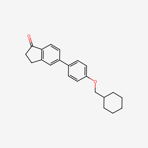 O=C1CCc2cc(-c3ccc(OCC4CCCCC4)cc3)ccc21